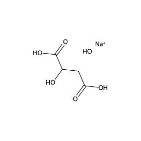 O=C(O)CC(O)C(=O)O.[Na+].[OH-]